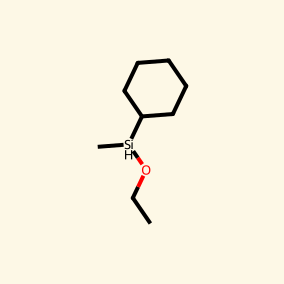 CCO[SiH](C)C1CCCCC1